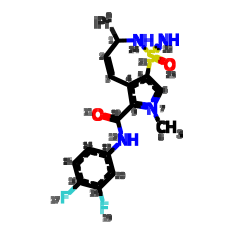 CC(C)C1C=Cc2c(cn(C)c2C(=O)Nc2ccc(F)c(F)c2)S(=N)(=O)N1